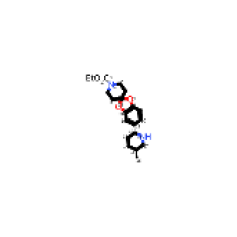 CCOC(=O)N1CCC2(CC1)Oc1ccc([C@H]3CC[C@H](C)CN3)cc1O2